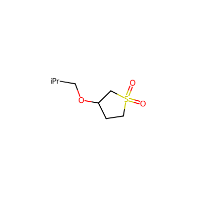 CC(C)COC1CCS(=O)(=O)C1